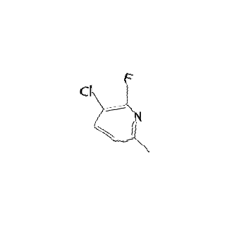 Cc1ccc(Cl)c(F)n1